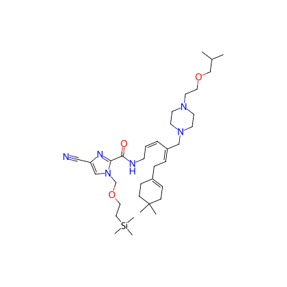 CC(C)COCCN1CCN(CC(/C=C\CNC(=O)c2nc(C#N)cn2COCC[Si](C)(C)C)=C/CC2=CCC(C)(C)CC2)CC1